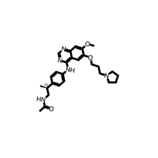 COc1cc2ncnc(Nc3ccc([C@H](C)CNC(C)=O)cc3)c2cc1OCCCN1CCCC1